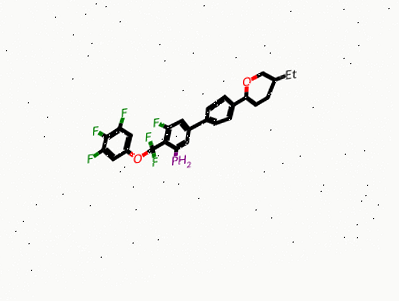 CCC1CCC(c2ccc(-c3cc(F)c(C(F)(F)Oc4cc(F)c(F)c(F)c4)c(P)c3)cc2)OC1